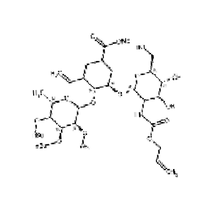 C=CCOC(=O)NC1C(O)[C@@H](O)[C@H](CO)O[C@H]1O[C@@H]1CC(C(=O)OC)CC(C=C)[C@H]1OC1O[C@@H](C)C(OCCCC)[C@H](OCCCC)[C@@H]1OCCCC